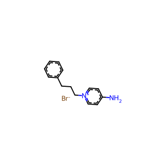 Nc1cc[n+](CCCc2ccccc2)cc1.[Br-]